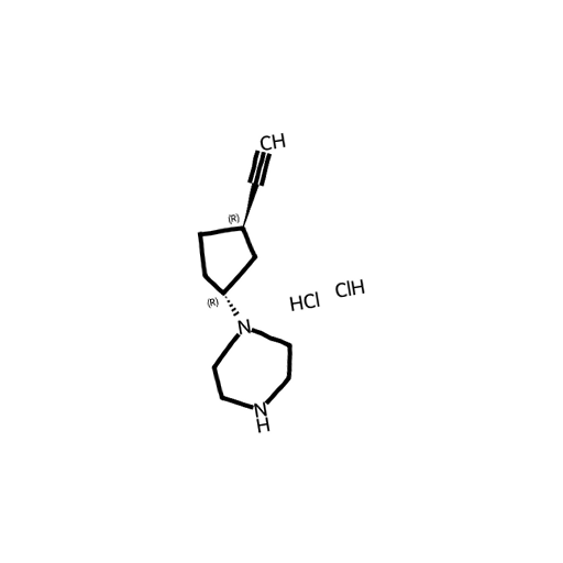 C#C[C@@H]1CC[C@@H](N2CCNCC2)C1.Cl.Cl